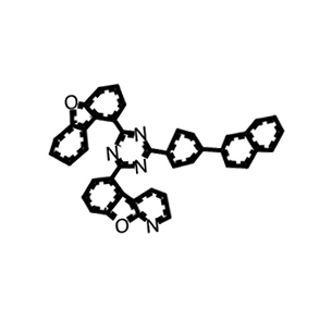 c1ccc2cc(-c3ccc(-c4nc(-c5cccc6oc7ccccc7c56)nc(-c5cccc6oc7ncccc7c56)n4)cc3)ccc2c1